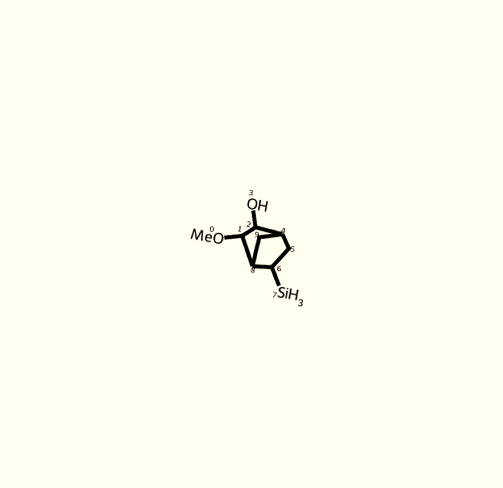 COC1C(O)C2CC([SiH3])C1C2